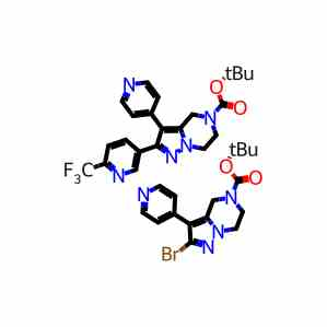 CC(C)(C)OC(=O)N1CCn2nc(-c3ccc(C(F)(F)F)nc3)c(-c3ccncc3)c2C1.CC(C)(C)OC(=O)N1CCn2nc(Br)c(-c3ccncc3)c2C1